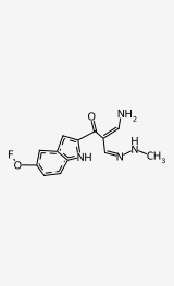 CN/N=C\C(=C\N)C(=O)c1cc2cc(OF)ccc2[nH]1